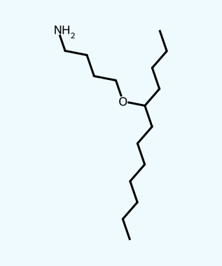 CCCCCCCC(CCCC)OCCCCN